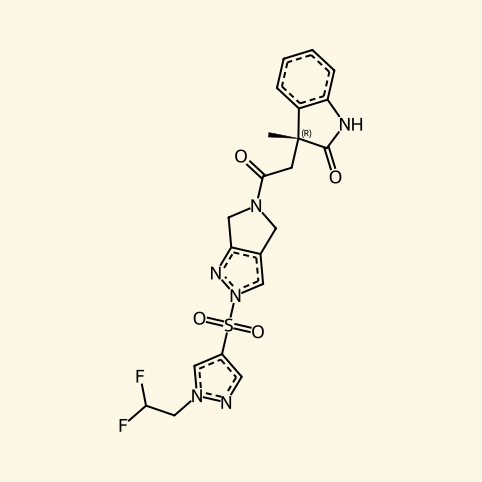 C[C@]1(CC(=O)N2Cc3cn(S(=O)(=O)c4cnn(CC(F)F)c4)nc3C2)C(=O)Nc2ccccc21